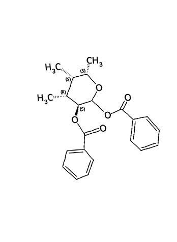 C[C@@H]1[C@H](C)[C@H](C)OC(OC(=O)c2ccccc2)[C@H]1OC(=O)c1ccccc1